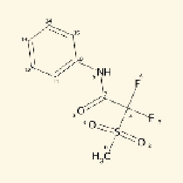 CS(=O)(=O)C(F)(F)C(=O)Nc1ccccc1